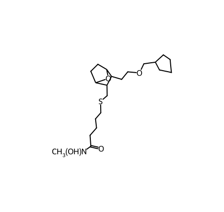 CN(O)C(=O)CCCCSCC1C2CCC(O2)C1CCOCC1CCCC1